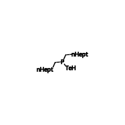 CCCCCCCCP([TeH])CCCCCCCC